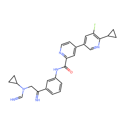 N=CN(CC(=N)c1cccc(NC(=O)c2cc(-c3cnc(C4CC4)c(F)c3)ccn2)c1)C1CC1